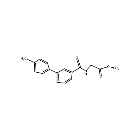 COC(=O)CNC(=O)c1cccc(-c2ccc(C)cc2)c1